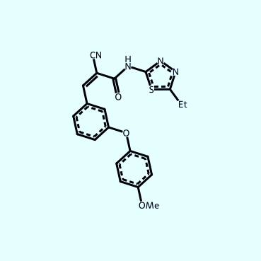 CCc1nnc(NC(=O)C(C#N)=Cc2cccc(Oc3ccc(OC)cc3)c2)s1